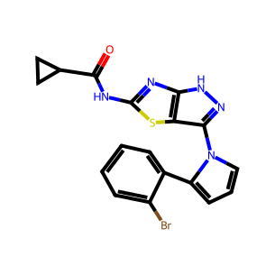 O=C(Nc1nc2[nH]nc(-n3cccc3-c3ccccc3Br)c2s1)C1CC1